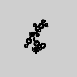 COc1cc2oc(C(=O)N[C@H](CCN3CCC(C(=O)NC(C)(C)C)(C4CCCCC4)CC3)Cc3ccc(Cl)cc3)cc(=O)c2cc1OC